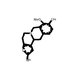 CCCc1cc2c(s1)CCN1Cc3c(ccc(O)c3OC)CC21